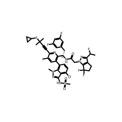 CC(F)c1nn(CC(=O)N[C@@H](Cc2cc(F)cc(F)c2)c2nc(C#CC(C)(C)SC3CC3)c(I)cc2-c2ccc(Cl)c3c(NS(C)(=O)=O)nn(C)c23)c2c1CCC2(F)F